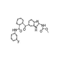 COC(=O)Nc1nc2ccc(C(=O)c3ccccc3C(=O)Nc3cccc(F)c3)cc2[nH]1